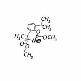 CCOC(=O)[C@H]1NP(=O)(COC)Oc2c(C(C)C)cccc2C1C